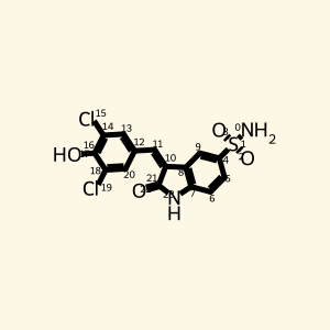 NS(=O)(=O)c1ccc2c(c1)C(=Cc1cc(Cl)c(O)c(Cl)c1)C(=O)N2